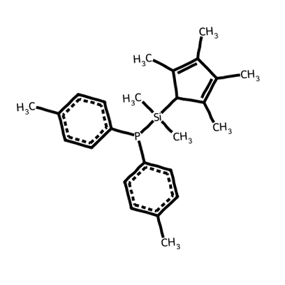 CC1=C(C)C([Si](C)(C)P(c2ccc(C)cc2)c2ccc(C)cc2)C(C)=C1C